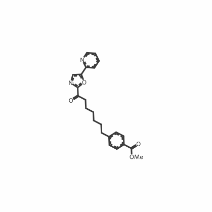 COC(=O)c1ccc(CCCCCCC(=O)c2ncc(-c3ccccn3)o2)cc1